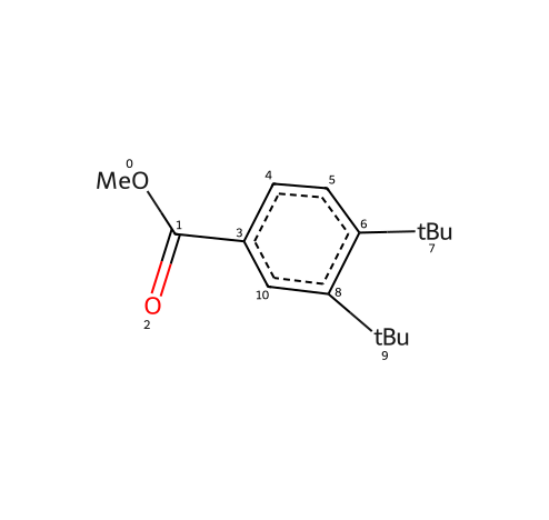 COC(=O)c1ccc(C(C)(C)C)c(C(C)(C)C)c1